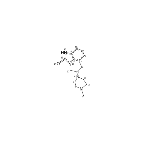 CN1CCN(C2Cc3cccc4[nH]c(=O)n(c34)C2)CC1